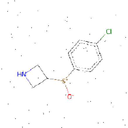 [O-][S+](c1ccc(Cl)cc1)C1CNC1